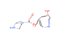 O=C(Oc1cncc(O)c1)N1CC2CC1CN2